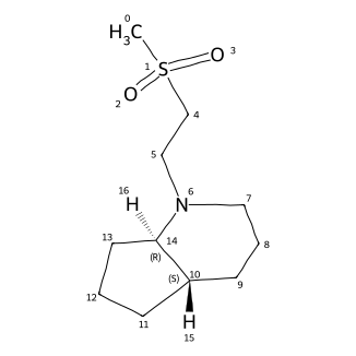 CS(=O)(=O)CCN1CCC[C@@H]2CCC[C@H]21